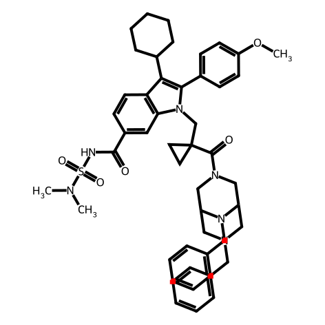 COc1ccc(-c2c(C3CCCCC3)c3ccc(C(=O)NS(=O)(=O)N(C)C)cc3n2CC2(C(=O)N3CC4CN(Cc5ccccc5)CC(C3)N4Cc3ccccc3)CC2)cc1